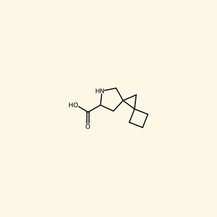 O=C(O)C1CC2(CN1)CC21CCC1